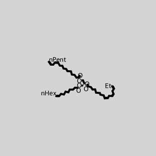 CC/C=C\C/C=C\C/C=C\CCCCCCCC(=O)O[C@H](COC(=O)CCCCCCC/C=C\CCCCCC)COC(=O)CCCCCCCCC/C=C\C/C=C\CCCCC